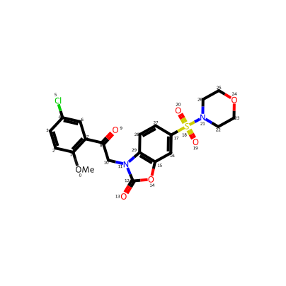 COc1ccc(Cl)cc1C(=O)Cn1c(=O)oc2cc(S(=O)(=O)N3CCOCC3)ccc21